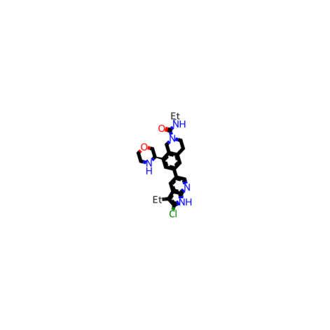 CCNC(=O)N1CCc2cc(-c3cnc4[nH]c(Cl)c(CC)c4c3)cc([C@@H]3COCCN3)c2C1